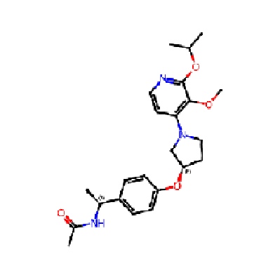 COc1c(N2CC[C@@H](Oc3ccc([C@H](C)NC(C)=O)cc3)C2)ccnc1OC(C)C